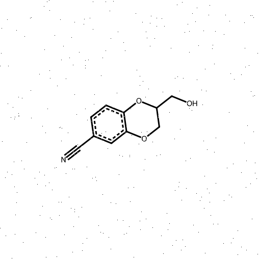 N#Cc1ccc2c(c1)OCC(CO)O2